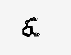 C[CH]c1cccc(OCCCC)c1